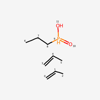 C=CC.C=CC.C[CH]C[PH](=O)O